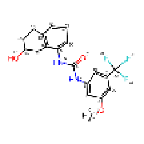 COc1cc(NC(=O)Nc2cccc3c2CC(O)CC3)cc(C(F)(F)F)c1